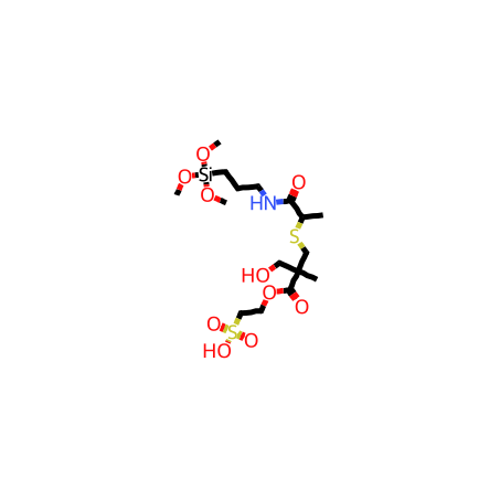 CO[Si](CCCNC(=O)C(C)SCC(C)(CO)C(=O)OCCS(=O)(=O)O)(OC)OC